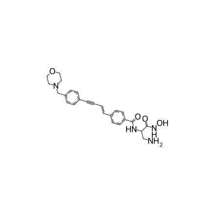 NCC(NC(=O)c1ccc(C=CC#Cc2ccc(CN3CCOCC3)cc2)cc1)C(=O)NO